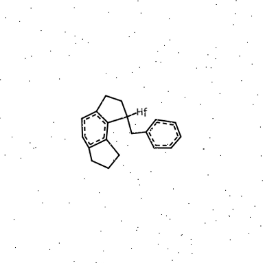 [Hf][C]1(Cc2ccccc2)CCc2ccc3c(c21)CCC3